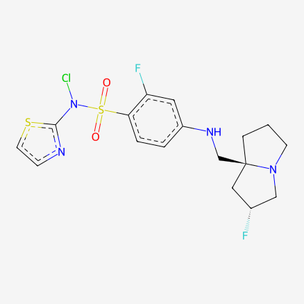 O=S(=O)(c1ccc(NC[C@@]23CCCN2C[C@H](F)C3)cc1F)N(Cl)c1nccs1